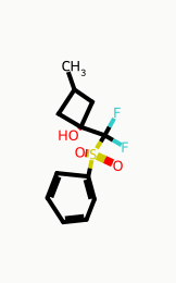 CC1CC(O)(C(F)(F)S(=O)(=O)c2ccccc2)C1